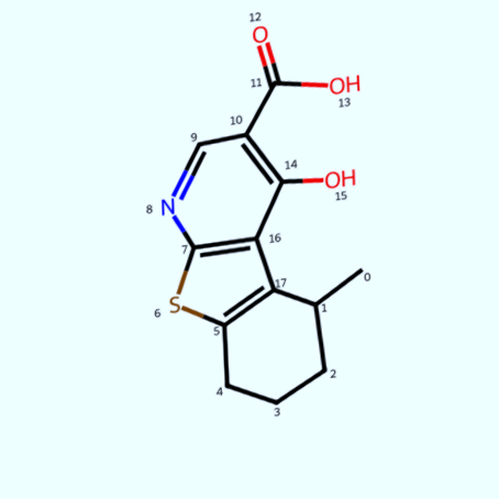 CC1CCCc2sc3ncc(C(=O)O)c(O)c3c21